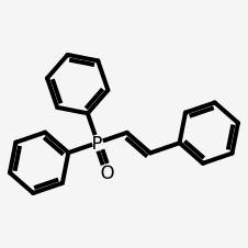 O=P(/C=C/c1ccccc1)(c1ccccc1)c1ccccc1